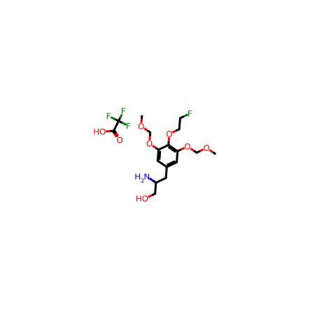 COCOc1cc(CC(N)CO)cc(OCOC)c1OCCF.O=C(O)C(F)(F)F